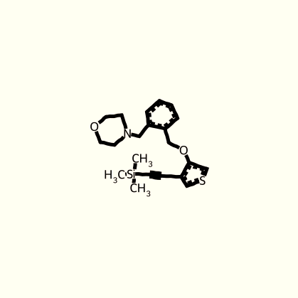 C[Si](C)(C)C#Cc1cscc1OCc1ccccc1CN1CCOCC1